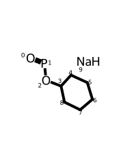 O=POC1CCCCC1.[NaH]